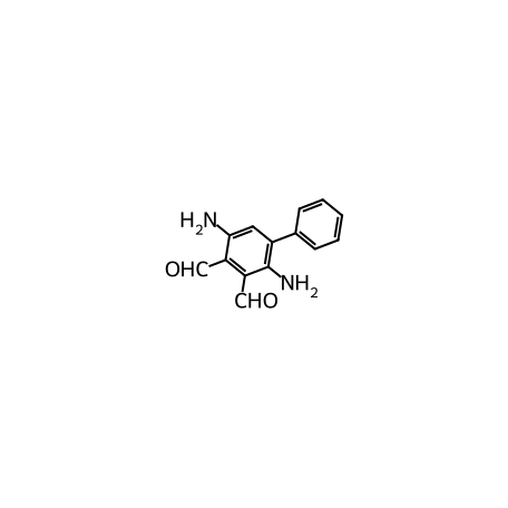 Nc1cc(-c2ccccc2)c(N)c(C=O)c1C=O